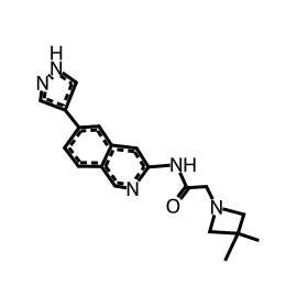 CC1(C)CN(CC(=O)Nc2cc3cc(-c4cn[nH]c4)ccc3cn2)C1